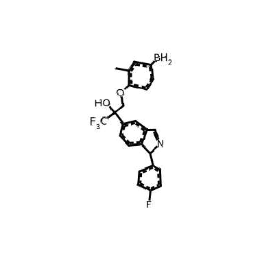 Bc1ccc(OCC(O)(c2ccc3c(c2)C=NC3c2ccc(F)cc2)C(F)(F)F)c(C)c1